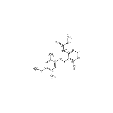 CCc1cc(C)c(OCc2c(Cl)cccc2NC(=O)SC)cc1C